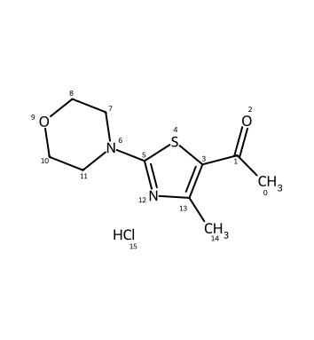 CC(=O)c1sc(N2CCOCC2)nc1C.Cl